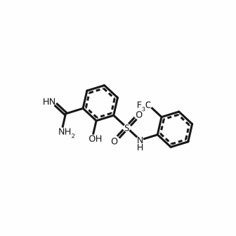 N=C(N)c1cccc(S(=O)(=O)Nc2ccccc2C(F)(F)F)c1O